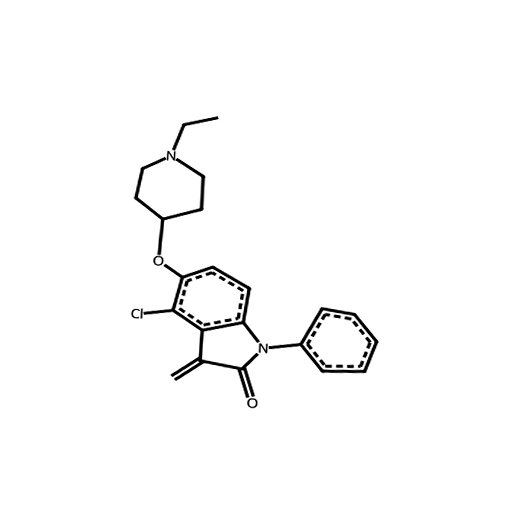 C=C1C(=O)N(c2ccccc2)c2ccc(OC3CCN(CC)CC3)c(Cl)c21